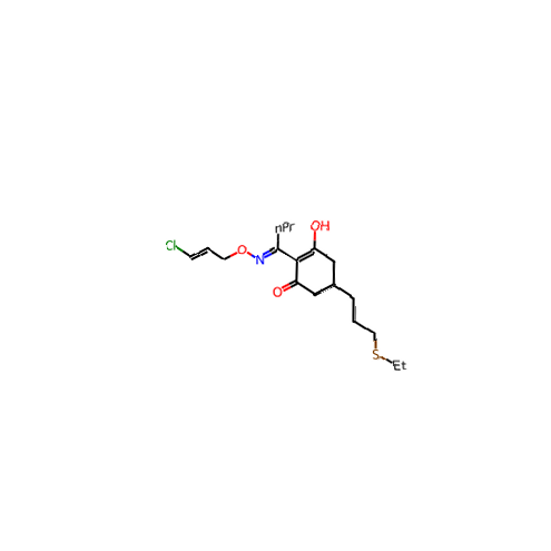 CCCC(=NOCC=CCl)C1=C(O)CC(CCCSCC)CC1=O